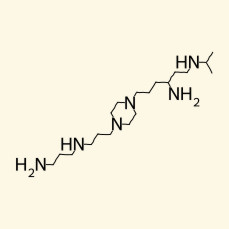 CC(C)NCCC(N)CCCN1CCN(CCCNCCCN)CC1